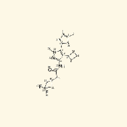 Cc1nnc(-c2c(C3CCC3)c(NC(=O)CC3CC(F)(F)C3)nn2C)s1